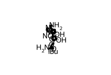 CCC(C)[C@@H](N)C(=O)OC[C@H]1O[C@@](C#N)(c2ccc3c(N)ncnn23)[C@H](O)[C@@H]1O